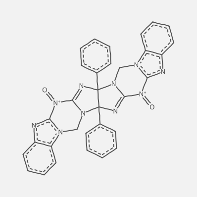 O=[N+]1C2=NC3(c4ccccc4)N4Cn5c(nc6ccccc65)[N+](=O)C4=NC3(c3ccccc3)N2Cn2c1nc1ccccc12